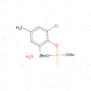 COP(=S)(OC)Oc1c(Cl)cc(C)cc1Cl.O